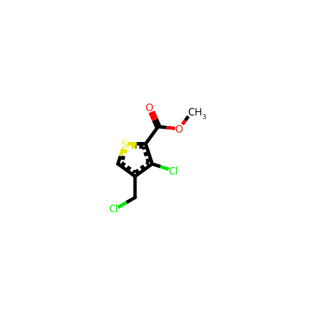 COC(=O)c1scc(CCl)c1Cl